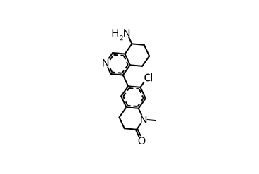 CN1C(=O)CCc2cc(-c3cncc4c3CCCC4N)c(Cl)cc21